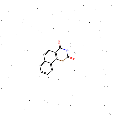 O=c1[nH]c(=O)c2ccc3ccccc3c2s1